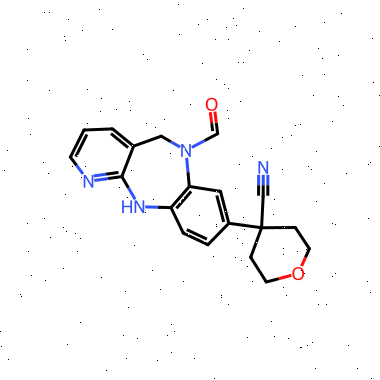 N#CC1(c2ccc3c(c2)N(C=O)Cc2cccnc2N3)CCOCC1